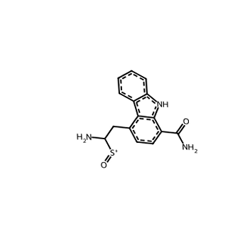 NC(=O)c1ccc(CC(N)[S+]=O)c2c1[nH]c1ccccc12